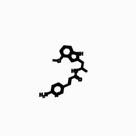 COc1cccc2[nH]c(CC(C)NC(=O)C=Cc3ccc(N)nc3)cc12